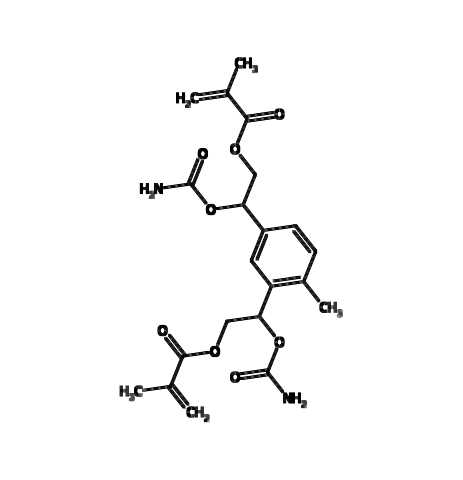 C=C(C)C(=O)OCC(OC(N)=O)c1ccc(C)c(C(COC(=O)C(=C)C)OC(N)=O)c1